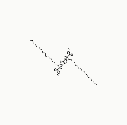 CCCCCCCCCCCCCCCCCc1c(C(=O)OCC)sc2c1sc1c3sc(C(=O)OCC)c(CCCCCCCCCCCCCCCCC)c3sc21